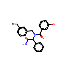 COc1cccc(CN(C(=O)c2cccc(O)c2)C(C(N)=O)c2ccccc2)c1